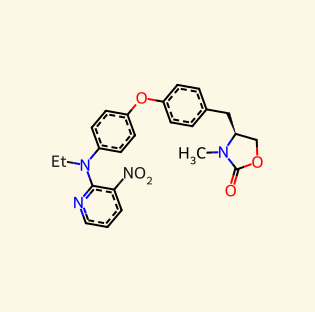 CCN(c1ccc(Oc2ccc(C[C@H]3COC(=O)N3C)cc2)cc1)c1ncccc1[N+](=O)[O-]